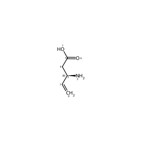 C=C[C@H](N)CC(=O)O